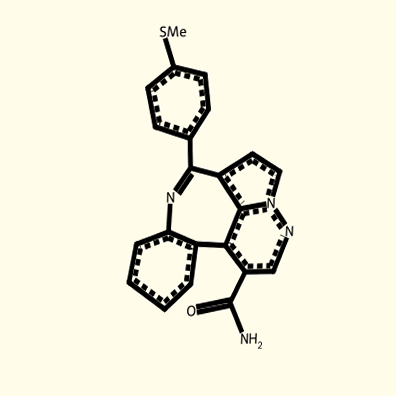 CSc1ccc(C2=Nc3ccccc3-c3c(C(N)=O)cnn4ccc2c34)cc1